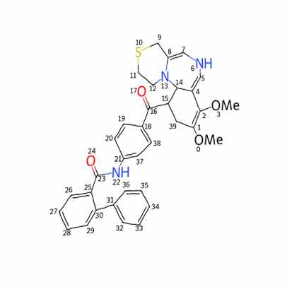 COC1=C(OC)C2=CNC=C3CSCCN3C2C(C(=O)c2ccc(NC(=O)c3ccccc3-c3ccccc3)cc2)C1